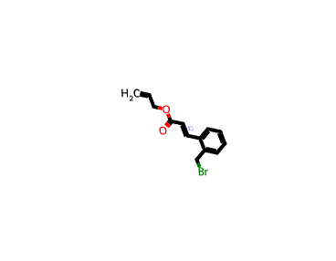 C=CCOC(=O)/C=C/c1ccccc1CBr